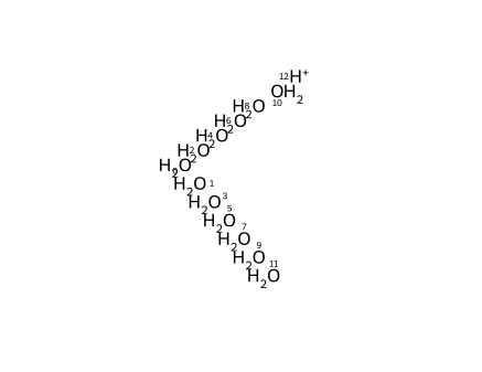 O.O.O.O.O.O.O.O.O.O.O.O.[H+]